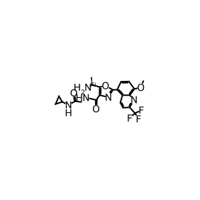 COc1ccc(-c2nc(C(=O)NCC(=O)NC3CC3)c([C@H](C)N)o2)c2ccc(C(F)(F)F)nc12